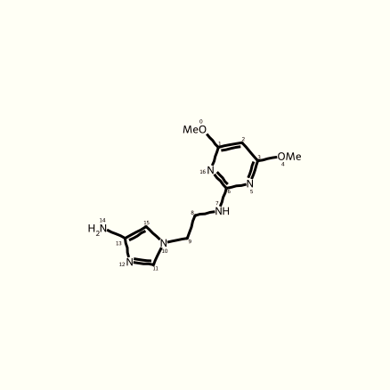 COc1cc(OC)nc(NCCn2cnc(N)c2)n1